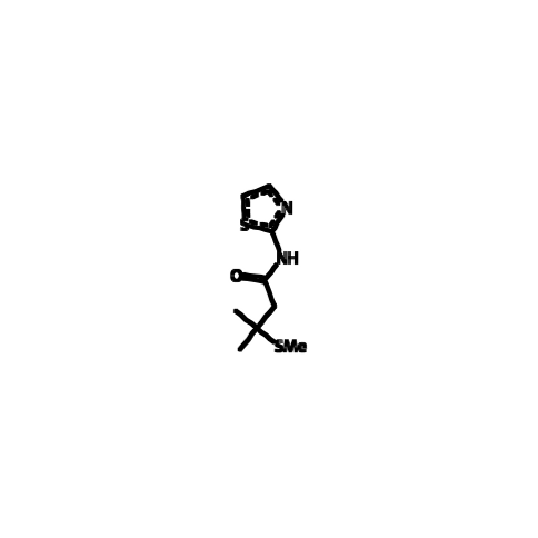 CSC(C)(C)CC(=O)Nc1nccs1